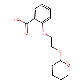 O=C(O)c1ccccc1OCCOC1CCCCO1